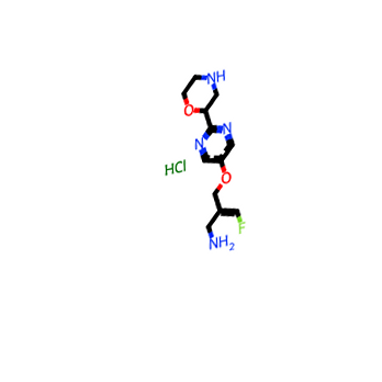 Cl.NCC(=CF)COc1cnc(C2CNCCO2)nc1